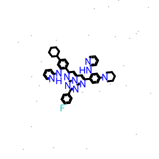 Fc1ccc(C2=NC3=NC(c4ccc(N5CCCCC5)cc4Nc4ccccn4)=CC4=CC(c5ccc(C6CCCCC6)cc5Nc5ccccn5)=NC(=N2)N43)cc1